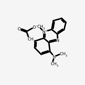 CC(=O)[O-].CN(C)c1cccc2c1nc1ccccc1[n+]2C